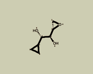 O[C@H]([C@@H]1CO1)[C@@H](O)C1CC1